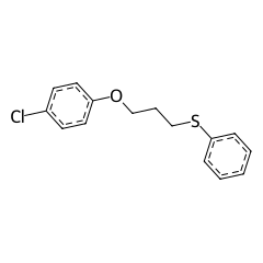 Clc1ccc(OCCCSc2ccccc2)cc1